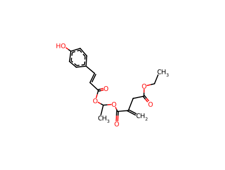 C=C(CC(=O)OCC)C(=O)OC(C)OC(=O)/C=C/c1ccc(O)cc1